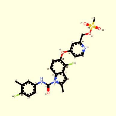 Cc1cc(NC(=O)n2c(C)cc3c(F)c(Oc4ccnc(COS(C)(=O)=O)c4)ccc32)ccc1F